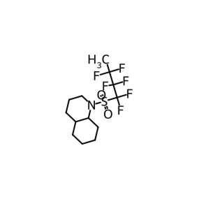 CC(F)(F)C(F)(F)C(F)(F)S(=O)(=O)N1CCCC2CCCCC21